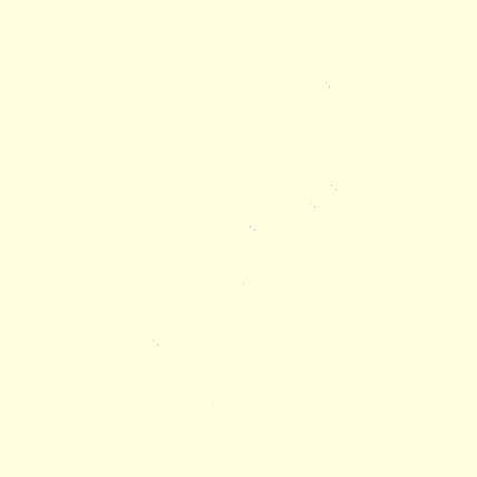 Cn1nc(-c2ccc(O)nc2OCc2ccccc2)c2cccc(N3CCN(CC4CCN(C(=O)O)C(C(C)(C)C)C4F)CC3)c21